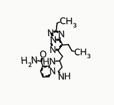 CCCc1c(CC(CC=N)Nc2ncccc2C(N)=O)ncn2nc(CC)nc12